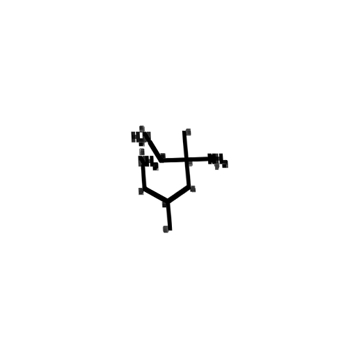 CC(CN)CC(C)(N)CN